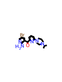 CC(C)N1CCCN(c2cccc(C(=O)c3cc(Br)cnc3N)n2)CC1